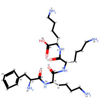 NCCCC[C@H](NC(=O)[C@H](CCCCN)NC(=O)[C@H](CCCCN)NC(=O)[C@@H](N)Cc1ccccc1)C(=O)O